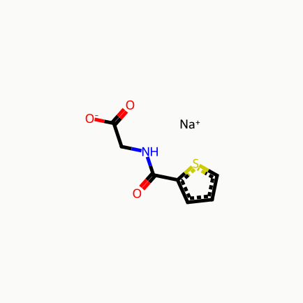 O=C([O-])CNC(=O)c1cccs1.[Na+]